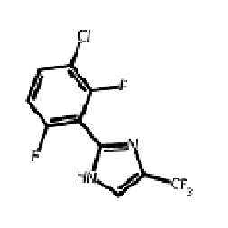 Fc1ccc(Cl)c(F)c1-c1nc(C(F)(F)F)c[nH]1